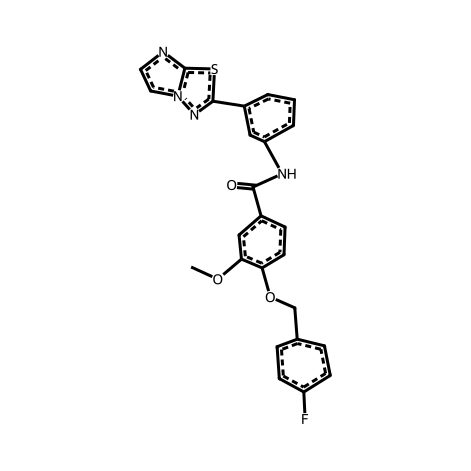 COc1cc(C(=O)Nc2cccc(-c3nn4ccnc4s3)c2)ccc1OCc1ccc(F)cc1